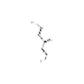 O=C(/C=C/O)/C=C/O